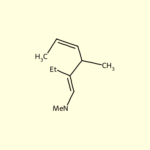 C/C=C\C(C)/C(=C/NC)CC